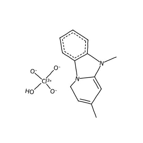 CC1=CCN2C(=C1)N(C)c1ccccc12.[O-][Cl+3]([O-])([O-])O